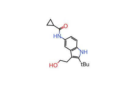 CC(C)(C)c1[nH]c2ccc(NC(=O)C3CC3)cc2c1CCO